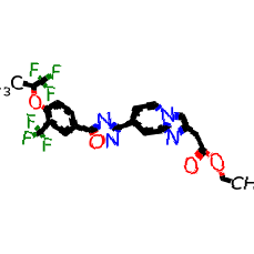 CCOC(=O)Cc1cn2ccc(-c3noc(-c4ccc(OC(C)C(F)(F)F)c(C(F)(F)F)c4)n3)cc2n1